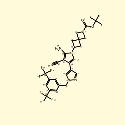 CC(C)(C)OC(=O)N1CC2(CC(n3nc(-c4cnn(Cc5cc(C(F)(F)F)cc(C(F)(F)F)c5)c4)c(C#N)c3N)C2)C1